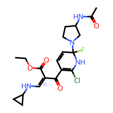 CCOC(=O)/C(=C\NC1CC1)C(=O)C1=C(Cl)NC(F)(N2CCC(NC(C)=O)C2)C=C1